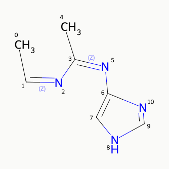 C/C=N\C(C)=N/c1c[nH]cn1